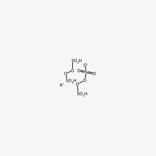 O=S(=O)(O)OOS(=O)(=O)O.O=S(=O)([O-])OOS(=O)(=O)O.[K+]